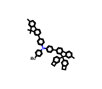 CCC(C)c1ccc(N(c2ccc(-c3ccc4c(c3)C(C)(C)c3cc(C)ccc3-4)cc2)c2ccc(-c3ccc4c(c3)C(c3ccc5c(c3)CC5)(c3ccc5c(c3)CC5)c3cc(C)ccc3-4)cc2)cc1